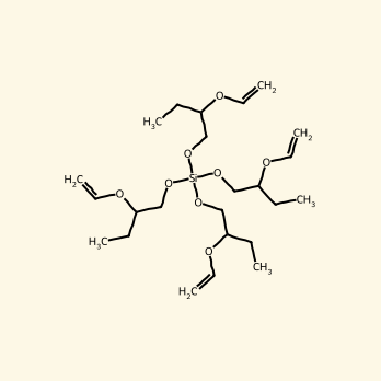 C=COC(CC)CO[Si](OCC(CC)OC=C)(OCC(CC)OC=C)OCC(CC)OC=C